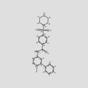 O=C(Nc1ccc(I)c(-c2ccccn2)c1)c1ccc(S(=O)(=O)N2CCOCC2)cc1